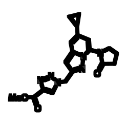 COC(=O)c1cn(Cc2cc3cc(C4CC4)cc(N4CCCC4=O)n3n2)nn1